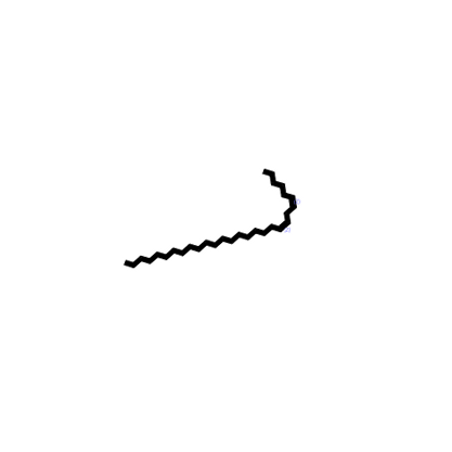 CCCCC/C=C\C/C=C\CCCCCCCCCCCCCCCCCCC